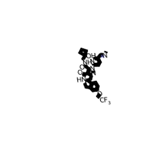 C/N=C/c1ccc(-n2nc3c(c2C(=O)NCC2(O)CCC2)C(=O)N[C@@]2(CCc4cc(OCC(F)(F)F)ccc42)C3)nc1